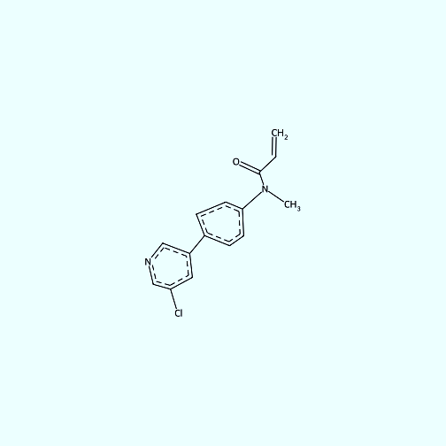 C=CC(=O)N(C)c1ccc(-c2cncc(Cl)c2)cc1